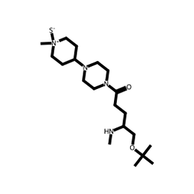 CNC(CCC(=O)N1CCN(C2CC[N+](C)([S-])CC2)CC1)COC(C)(C)C